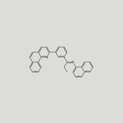 CC/C(=N\c1cccc2ccccc12)c1cccc(-c2ccc3ccc4ccccc4c3n2)c1